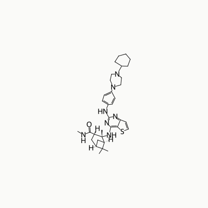 CNC(=O)[C@H]1C[C@H]2C[C@H](C2(C)C)[C@@]1(C)Nc1nc(Nc2ccc(N3CCN(C4CCCCC4)CC3)cc2)nc2ccsc12